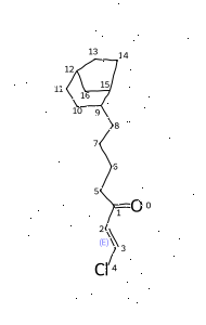 O=C(/C=C/Cl)CCCCC1CCC2CCC1C2